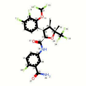 C[C@@H]1[C@@H](c2ccc(F)c(F)c2OC(F)F)[C@@H](C(=O)Nc2ccc(F)c(C(N)=O)c2)O[C@@]1(C)C(F)(F)F